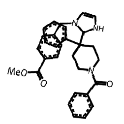 COC(=O)c1ccc(CN2C=CNC2C2(c3ccccc3)CCN(C(=O)c3ccccc3)CC2)cc1